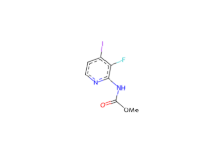 COC(=O)Nc1nccc(I)c1F